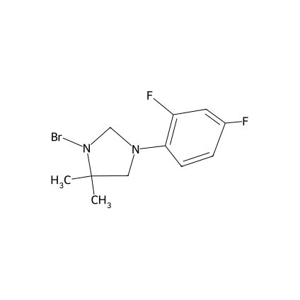 CC1(C)CN(c2ccc(F)cc2F)CN1Br